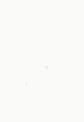 COc1ccc2c(c1OC)C(=O)N(Cc1ccc(F)cc1F)C2=O